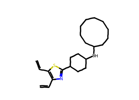 C=Cc1nc(C2CCC(BC3CCCCCCCCC3)CC2)sc1C=C